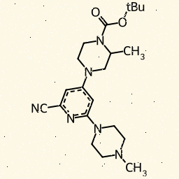 CC1CN(c2cc(C#N)nc(N3CCN(C)CC3)c2)CCN1C(=O)OC(C)(C)C